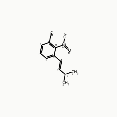 CN(C)C=Cc1cccc(Br)c1[N+](=O)[O-]